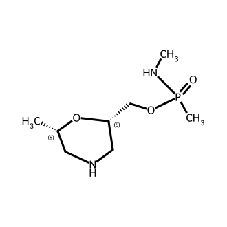 CNP(C)(=O)OC[C@@H]1CNC[C@H](C)O1